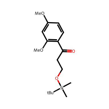 COc1ccc(C(=O)CCO[Si](C)(C)C(C)(C)C)c(OC)c1